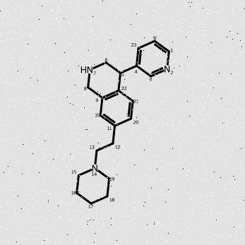 c1cncc(C2CNCc3cc(CCN4CCCCC4)ccc32)c1